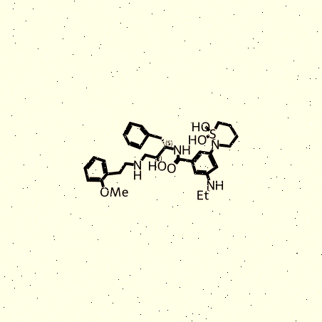 CCNc1cc(C(=O)N[C@@H](Cc2ccccc2)[C@H](O)CNCCc2ccccc2OC)cc(N2CCCCS2(O)O)c1